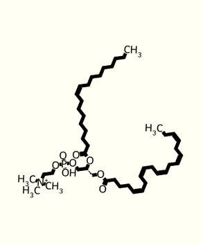 CC/C=C\C/C=C\C/C=C\C/C=C\C/C=C\CCCC(=O)OC[C@H](COP(=O)(O)OCC[N+](C)(C)C)OC(=O)CCCCCCC/C=C\CCCCCCCC